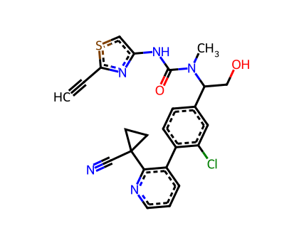 C#Cc1nc(NC(=O)N(C)C(CO)c2ccc(-c3cccnc3C3(C#N)CC3)c(Cl)c2)cs1